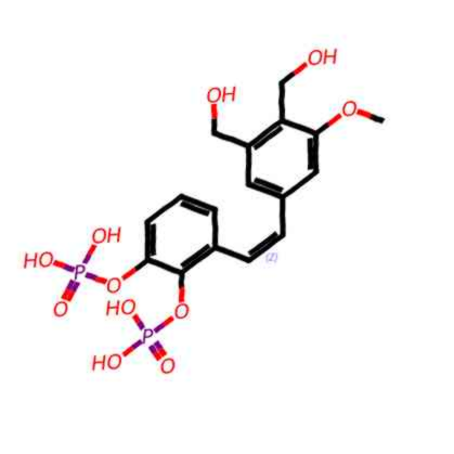 COc1cc(/C=C\c2cccc(OP(=O)(O)O)c2OP(=O)(O)O)cc(CO)c1CO